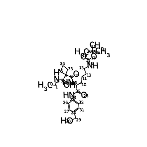 CCNC(O)C1(C(=O)N[C@@H](CCCCNC(=O)OC(C)(C)C)C(=O)Nc2ccc(CO)cc2)CCC1